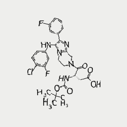 CC(C)(C)OC(=O)N[C@@H](CC(=O)O)C(=O)N1CCn2c(nc(-c3cccc(F)c3)c2Nc2ccc(Cl)c(F)c2)C1